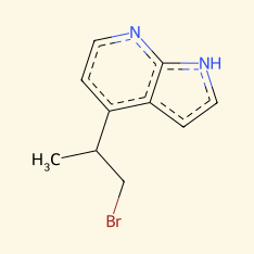 CC(CBr)c1ccnc2[nH]ccc12